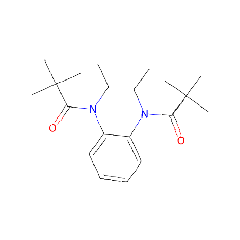 CCN(C(=O)C(C)(C)C)c1ccccc1N(CC)C(=O)C(C)(C)C